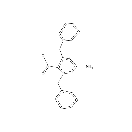 Nc1cc(Cc2ccccc2)c(C(=O)O)c(Cc2ccccc2)n1